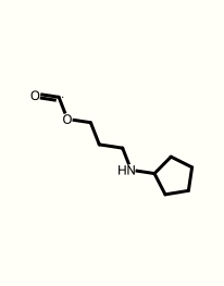 O=[C]OCCCNC1CCCC1